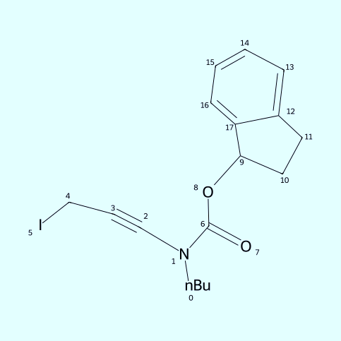 CCCCN(C#CCI)C(=O)OC1CCc2ccccc21